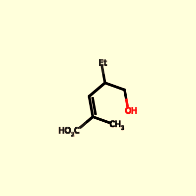 CCC(C=C(C)C(=O)O)CO